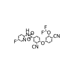 N#Cc1cc(S(=O)(=O)Nc2ccc(F)cn2)ccc1Oc1ccc(C#N)c(OC(F)F)c1